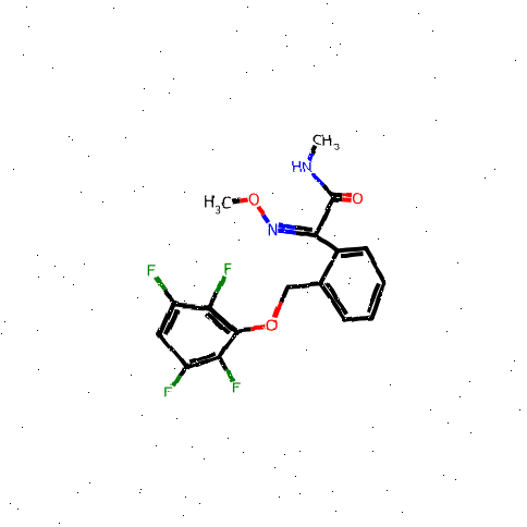 CNC(=O)/C(=N\OC)c1ccccc1COc1c(F)c(F)cc(F)c1F